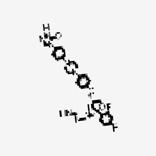 N=C/N=C\NC[C@]1(c2ccc(F)cc2F)C[C@H](COc2ccc(N3CCN(c4ccc(-n5cn[nH]c5=O)cc4)CC3)cc2)CO1